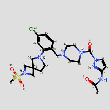 CC(=O)Nc1ccn(C(=O)N2CCN(Cc3ccc(Cl)cc3N3CCC4(C3)CN(S(C)(=O)=O)C4)CC2)n1